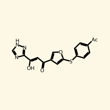 CC(=O)c1ccc(Sc2cc(C(=O)C=C(O)c3nc[nH]n3)co2)cc1